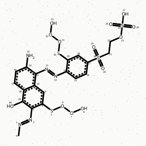 CN=Nc1c(SOOO)cc2c(N=Nc3ccc(S(=O)(=O)CCOS(=O)(=O)O)cc3SOOO)c(N)ccc2c1O